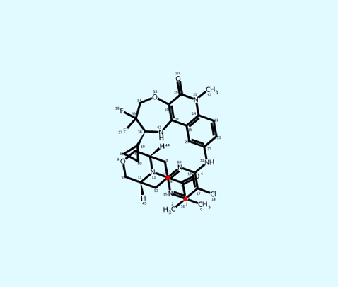 CN(C)C(=O)C1C[C@H]2COC[C@@H](C1)N2c1ncc(Cl)c(Nc2ccc3c(c2)c2c(c(=O)n3C)OCC(F)(F)[C@H](C3CC3)N2)n1